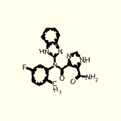 Cc1ccc(F)cc1N(C(=O)c1nc[nH]c1C(N)=O)c1nc2ccccc2[nH]1